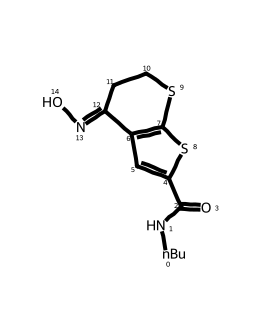 CCCCNC(=O)c1cc2c(s1)SCCC2=NO